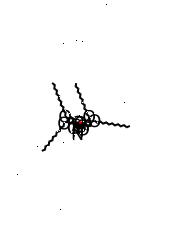 CCCCCCCCCCCCOc1ccc(S(=O)(=O)C(=[N+]=[N-])S(=O)(=O)c2ccc(OCCCCCCCCCCCC)c(OCCCCCCCCCCCC)c2)cc1OCCCCCCCCCCCC